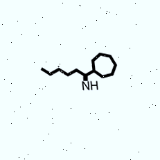 CC[CH]CCC(=N)C1CCCCCC1